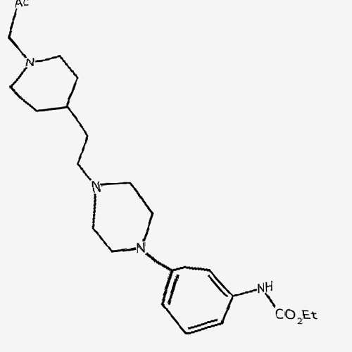 CCOC(=O)Nc1cccc(N2CCN(CCC3CCN(CC(C)=O)CC3)CC2)c1